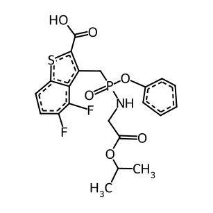 CC(C)OC(=O)CNP(=O)(Cc1c(C(=O)O)sc2ccc(F)c(F)c12)Oc1ccccc1